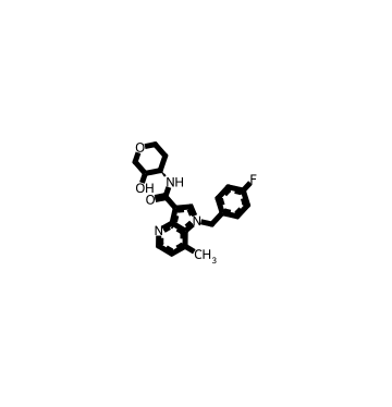 Cc1ccnc2c(C(=O)N[C@H]3CCOCC3O)cn(Cc3ccc(F)cc3)c12